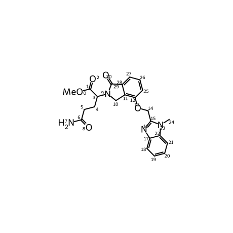 COC(=O)C(CCC(N)=O)N1Cc2c(OCc3nc4ccccc4n3C)cccc2C1=O